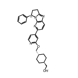 OC[C@H]1CC[C@H](COc2cc(-c3ccc4nc5n(c4n3)[C@@H](c3ccccc3)CC5)ccn2)CC1